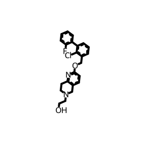 OCCN1CCc2nc(OCc3cccc(-c4ccccc4F)c3Cl)ccc2C1